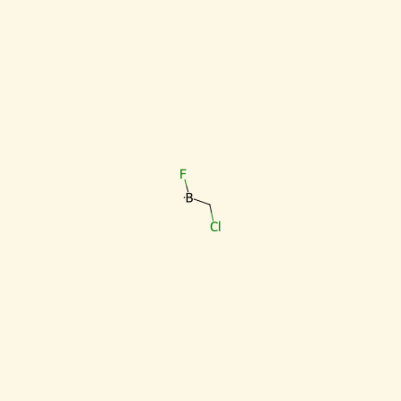 F[B]CCl